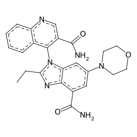 CCc1nc2c(C(N)=O)cc(N3CCOCC3)cc2n1-c1c(C(N)=O)cnc2ccccc12